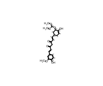 COc1cc(C=CC(=O)CC(=O)C=CC2CC=C(O)C(OC(OC)OC)C2)ccc1O